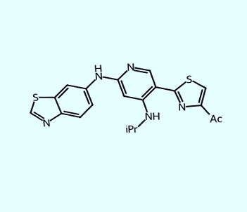 CC(=O)c1csc(-c2cnc(Nc3ccc4ncsc4c3)cc2NC(C)C)n1